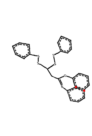 c1ccc(/N=C(/CC(SSc2ccccc2)SSc2ccccc2)Oc2ccccc2)cc1